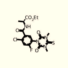 CCOC(=O)[C@H](C)NC(=O)c1cc(-n2c(=O)n(C)c(=S)n(C)c2=O)c(F)cc1Cl